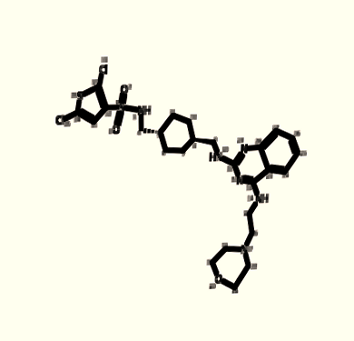 O=S(=O)(NC[C@H]1CC[C@H](CNc2nc(NCCN3CCOCC3)c3ccccc3n2)CC1)c1cc(Cl)sc1Cl